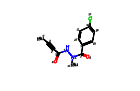 CC(C)(C)C#CC(=O)NN(C(=O)c1ccc(Cl)cc1)C(C)(C)C